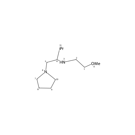 COCCNC(CN1CCCC1)C(C)C